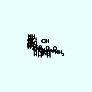 Cc1[nH]c(C(=O)NCCC(N)=O)nc1NC(=O)c1[nH]cc(NC(=O)c2[nH]cc(N)c2C)c1C.Cl